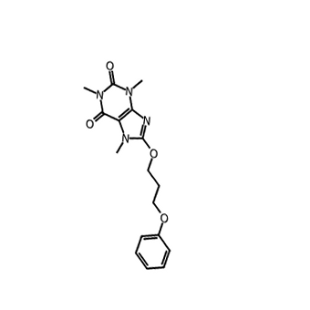 Cn1c(=O)c2c(nc(OCCCOc3ccccc3)n2C)n(C)c1=O